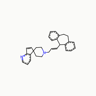 C(=CC1c2ccccc2CCc2ccccc21)CN1CCC2(C=Cc3ncccc32)CC1